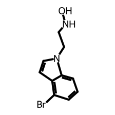 ONCCn1ccc2c(Br)cccc21